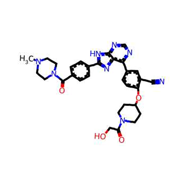 CN1CCN(C(=O)c2ccc(-c3nc4c(-c5ccc(OC6CCN(C(=O)CO)CC6)c(C#N)c5)ncnc4[nH]3)cc2)CC1